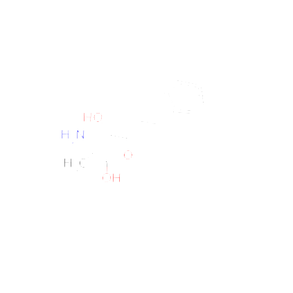 C[C@@](N)(C(=O)O)C(O)CCCc1ccccc1